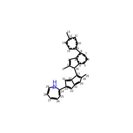 CC1=Cc2c(cccc2-c2ccc(C)cc2)[C]1C1=C(C)C=C2C=C(C3=CC=CC=CN3)C=C21